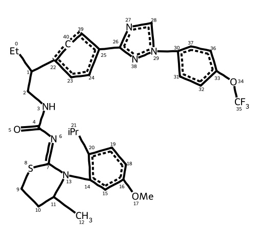 CCC(CNC(=O)/N=C1\SCCC(C)N1c1cc(OC)ccc1C(C)C)c1ccc(-c2ncn(-c3ccc(OC(F)(F)F)cc3)n2)cc1